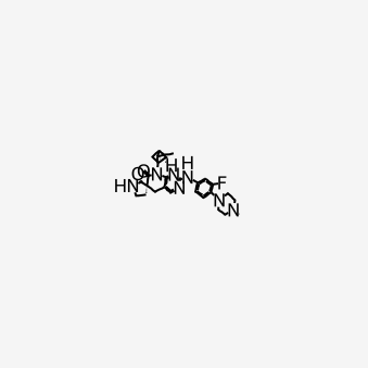 C[C@@H]1C2CC1(N1C(=O)[C@@]3(CCNC3=O)Cc3cnc(Nc4ccc(N5CCN(C)CC5)c(F)c4)nc31)C2